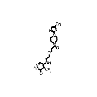 N#Cc1cnc(N2CCN(C(=O)CCOCCNc3cn[nH]c(=O)c3C(F)(F)F)CC2)s1